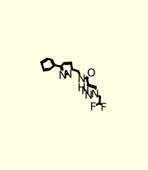 O=C(NCc1ccc(-c2ccccc2)nn1)c1cn(CC(F)F)nn1